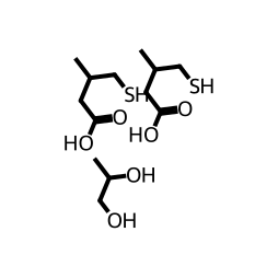 CC(CS)CC(=O)O.CC(CS)CC(=O)O.CC(O)CO